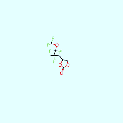 CC(F)(CC1COC(=O)O1)C(F)(F)OC(F)F